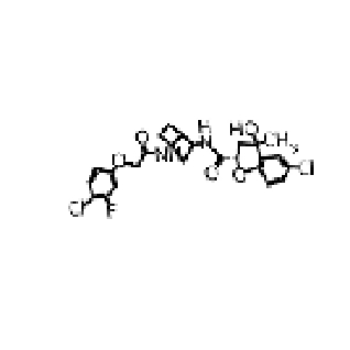 C[C@]1(O)C[C@@H](C(=O)NC2CC3(NC(=O)COc4ccc(Cl)c(F)c4)CCC23)Oc2ccc(Cl)cc21